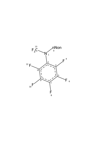 CCCCCCCCCN(c1c(F)c(F)c(F)c(F)c1F)C(F)(F)F